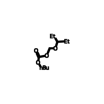 CCCCOC(=O)OCOC(CC)CC